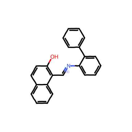 Oc1ccc2ccccc2c1/C=N/c1ccccc1-c1ccccc1